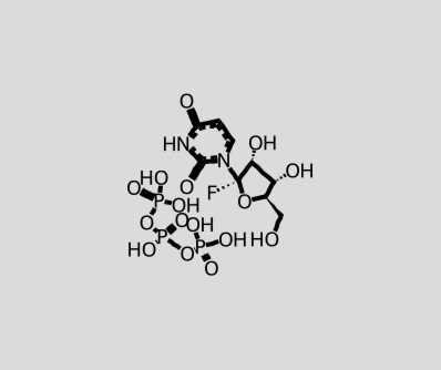 O=P(O)(O)OP(=O)(O)OP(=O)(O)O.O=c1ccn([C@]2(F)O[C@H](CO)[C@@H](O)[C@H]2O)c(=O)[nH]1